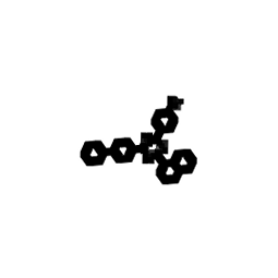 Brc1ccc(-c2nc(-c3ccc(-c4ccccc4)cc3)nc(-c3cccc4ccccc34)n2)cc1